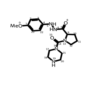 COc1ccc(NNC(=O)C2CCCN2C(=O)N2CCNCC2)cc1